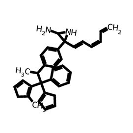 C=C/C=C\C=C\C1(c2ccc(C(C)C(C3=CC=CC3)(C3=C(C)CC=C3)c3ccccc3)cc2)NC1N